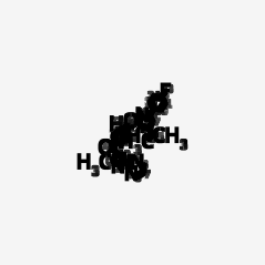 Cc1nn(-c2ncccn2)cc1C(=O)N1C[C@@H]2[C@H](C1)[C@H]2Oc1cc(C(C)C)cc(-c2ccc(F)cc2)n1